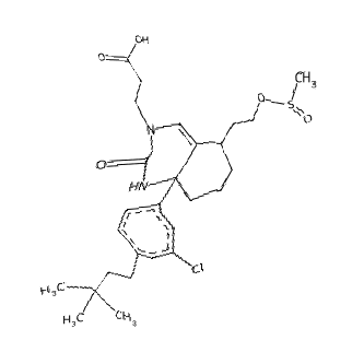 CS(=O)OCCC1CCCC2(c3ccc(CCC(C)(C)C)c(Cl)c3)NC(=O)N(CCC(=O)O)C=C12